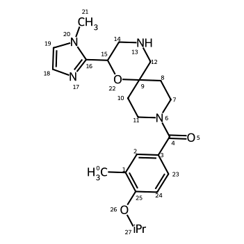 Cc1cc(C(=O)N2CCC3(CC2)CNCC(c2nccn2C)O3)ccc1OC(C)C